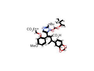 CCCCc1ncc(C(=C(C(=O)O)C(C)c2ccc3c(c2)OCO3)c2ccc(OC)cc2OCC(=O)OCC)n1OCOC(C)[Si](C)(C)C